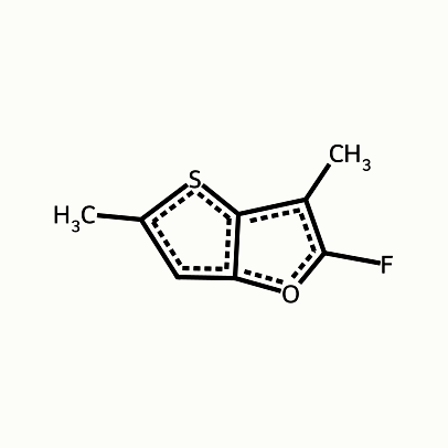 Cc1cc2oc(F)c(C)c2s1